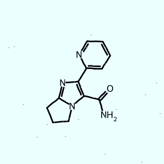 NC(=O)c1c(-c2ccccn2)nc2n1CCC2